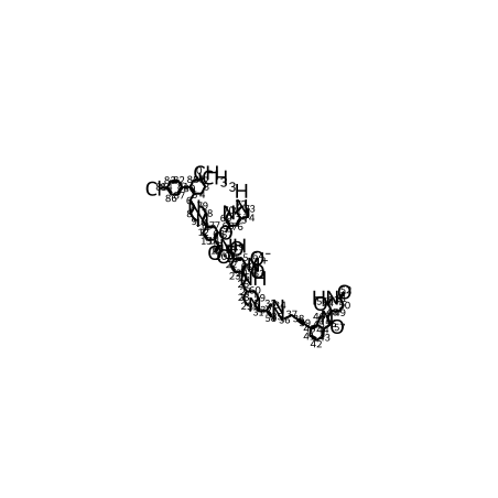 CC1(C)CCC(CN2CCN(c3ccc(C(=O)NS(=O)(=O)c4ccc(NCC5CCN(Cc6cnn(CCC#Cc7cccc8c7CN(C7CCC(=O)NC7=O)C8=O)c6)CC5)c([N+](=O)[O-])c4)c(Oc4cnc5[nH]ccc5c4)c3)CC2)=C(c2ccc(Cl)cc2)C1